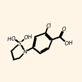 O=C(O)c1ccc(N2CCCS2(O)O)cc1Cl